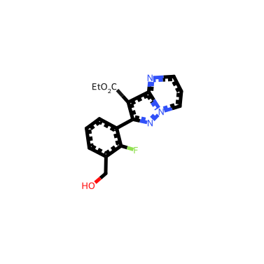 CCOC(=O)c1c(-c2cccc(CO)c2F)nn2cccnc12